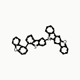 c1ccc2c(c1)oc1cc3c4ccccc4n(-c4ccc5sc6c(-c7cccc8oc9ccccc9c78)cccc6c5c4)c3cc12